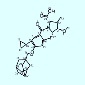 CO[C@H]1CN(C(=O)c2cc(C3CC3)c(OCC34CC5CC(C3)C(C5)C4)cc2F)[C@H](C(=O)O)C1C